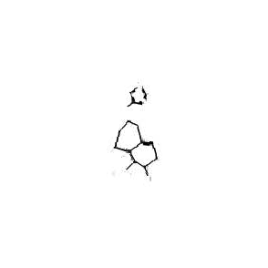 CC(C)C1CC=C2C[C@@H](Oc3cncs3)CC[C@]2(C)C1C(C)C